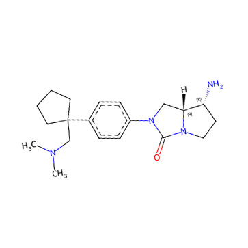 CN(C)CC1(c2ccc(N3C[C@@H]4[C@H](N)CCN4C3=O)cc2)CCCC1